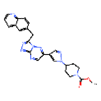 CC(C)(C)OC(=O)N1CCC(n2cc(-c3cnc4nnc(Cc5ccc6ncccc6c5)n4n3)cn2)CC1